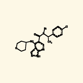 CCN(C(=O)c1cnc2[nH]ncc2c1NC1CCOCC1)C(C)c1ccc(Cl)cc1